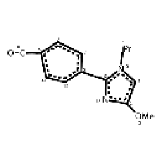 COc1cn(C(C)C)c(-c2ccc(C=O)cc2)n1